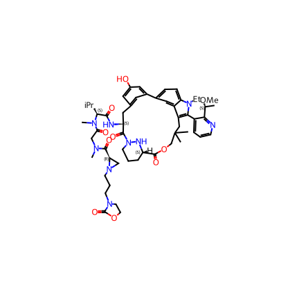 CCn1c(-c2cccnc2[C@H](C)OC)c2c3cc(ccc31)-c1cc(O)cc(c1)C[C@H](NC(=O)[C@H](C(C)C)N(C)C(=O)CN(C)C(=O)[C@H]1CN1CCCN1CCOC1=O)C(=O)N1CCC[C@H](N1)C(=O)OCC(C)(C)C2